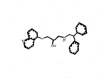 OC(CNCC(c1ccccc1)c1ccccc1)COc1cccc2ncccc12